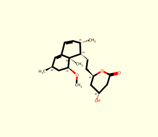 CO[C@H]1C[C@@H](C)C=C2C=C[C@H](C)[C@H](CC[C@@H]3C[C@@H](O)CC(=O)O3)[C@]21C